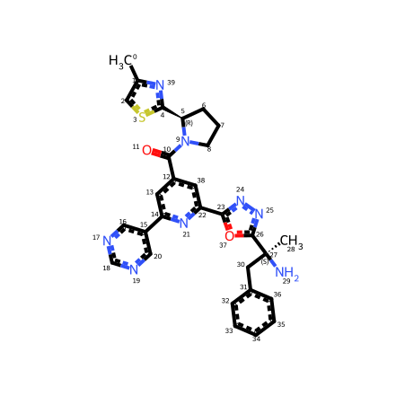 Cc1csc([C@H]2CCCN2C(=O)c2cc(-c3cncnc3)nc(-c3nnc([C@@](C)(N)Cc4ccccc4)o3)c2)n1